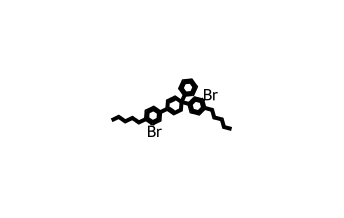 CCCCCc1ccc(C2=CCC(c3ccccc3)(c3ccc(CCCCC)c(Br)c3)C=C2)cc1Br